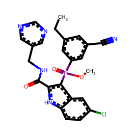 CCc1cc(C#N)cc(P(=O)(OC)c2c(C(=O)NCc3cncnc3)[nH]c3ccc(Cl)cc23)c1